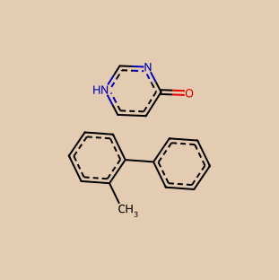 Cc1ccccc1-c1ccccc1.O=c1cc[nH]cn1